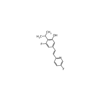 CC(C)c1c(O)cc(/C=C/c2ccc(F)cn2)cc1F